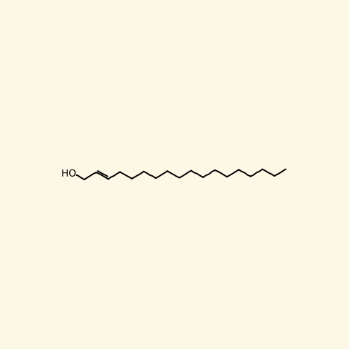 CCCCCCCCCCCCCCCC=CCO